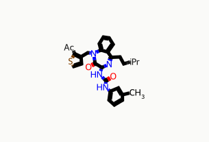 CC(=O)c1sccc1CN1C(=O)C(NC(=O)Nc2cccc(C)c2)N=C(CCC(C)C)c2ccccc21